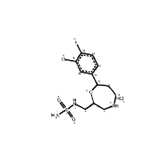 Cl.NS(=O)(=O)NCC1CNCCC(c2ccc(F)c(Cl)c2)O1